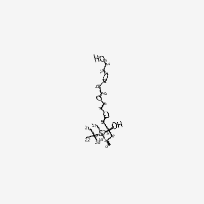 C=CCC(O)(COCCOCCOCCO)[Si](C)(C)C(C)(C)C